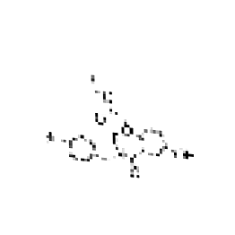 CCOC(=O)COc1ccc(O)cc1C(=O)N(F)Cc1ccc(Br)cc1